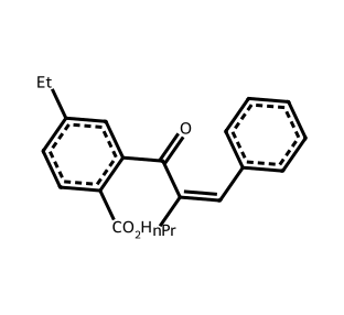 CCCC(=Cc1ccccc1)C(=O)c1cc(CC)ccc1C(=O)O